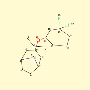 CC(C)N1C2CCC1CC(O[C@H]1CCCC(F)(F)C1)C2